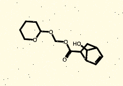 O=C(OCOC1CCCCO1)C1CC2C=CC1C2O